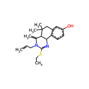 C=CCN1C(=C)C2C(N=C1SCC)c1ccc(O)cc1CC2(C)C